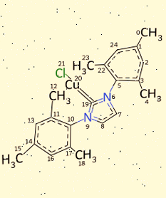 Cc1cc(C)c(-n2ccn(-c3c(C)cc(C)cc3C)[c]2=[Cu][Cl])c(C)c1